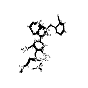 COCCN(c1c(N)nc(-c2nn(CC3CC=CC=C3C)c3ncccc23)nc1N)[S+]([O-])N(C)C